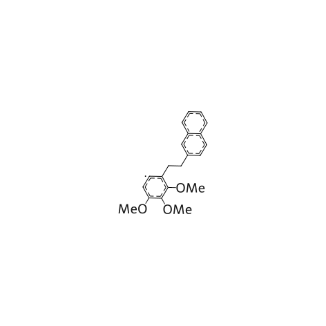 COc1c[c]c(CCc2ccc3ccccc3c2)c(OC)c1OC